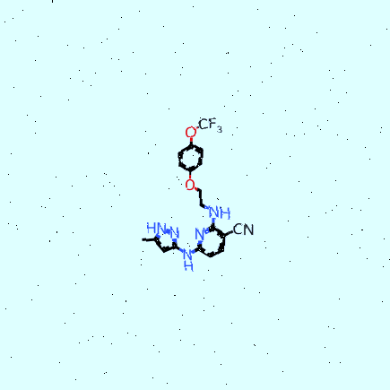 Cc1cc(Nc2ccc(C#N)c(NCCOc3ccc(OC(F)(F)F)cc3)n2)n[nH]1